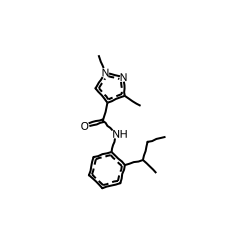 CCC(C)c1ccccc1NC(=O)c1cn(C)nc1C